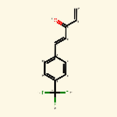 C=CC(=O)C=Cc1ccc(C(F)(F)F)cc1